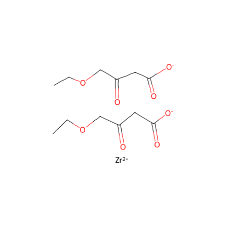 CCOCC(=O)CC(=O)[O-].CCOCC(=O)CC(=O)[O-].[Zr+2]